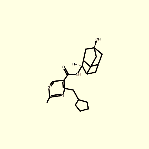 Cc1ncc(C(=O)N[C@H]2C3CC4CC2C[C@@](O)(C4)C3)c(CC2CCCC2)n1